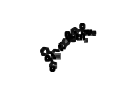 COC(=O)c1ccc(S(=O)(=O)N2CC3CN(CCC(NC(=O)C4CCOC4)c4ccccc4)CC3C2)n1C